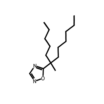 CCCCCCC(C)(CCCCC)c1ncno1